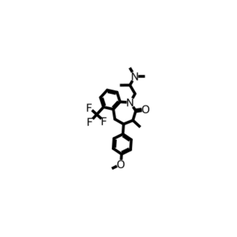 COc1ccc(C2Cc3c(cccc3C(F)(F)F)N(CC(C)N(C)C)C(=O)C2C)cc1